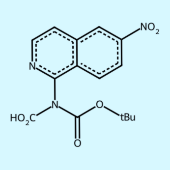 CC(C)(C)OC(=O)N(C(=O)O)c1nccc2cc([N+](=O)[O-])ccc12